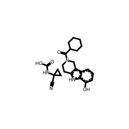 N#CC1(NC(=O)O)CC1.O=C(C1CCCCC1)N1CCc2[nH]c3c(O)cccc3c2C1